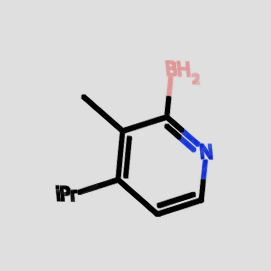 Bc1nccc(C(C)C)c1C